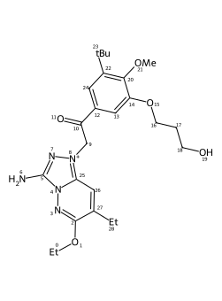 CCOc1nn2c(N)n[n+](CC(=O)c3cc(OCCCO)c(OC)c(C(C)(C)C)c3)c2cc1CC